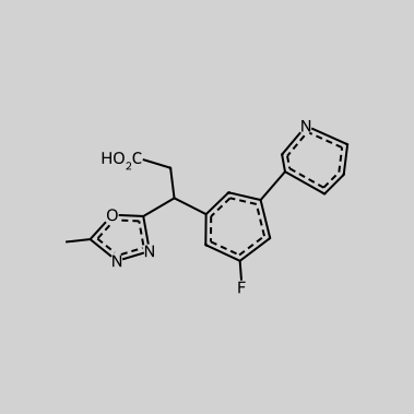 Cc1nnc(C(CC(=O)O)c2cc(F)cc(-c3cccnc3)c2)o1